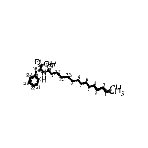 CCCCCCCCCCCCCCC(=O)N[C@H](Cc1ccccc1)C(=O)O